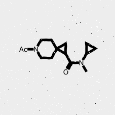 CC(=O)N1CCC2(CC1)CC2C(=O)N(C)C1CC1